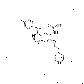 Cc1ccc(Nc2ncnc3cc(OCCN4CCOCC4)c(NC(=O)C(C)C)cc23)cc1